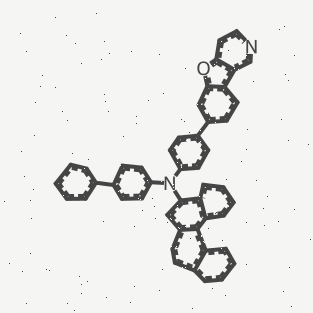 c1ccc(-c2ccc(N(c3ccc(-c4ccc5c(c4)oc4ccncc45)cc3)c3cc4ccc5ccccc5c4c4ccccc34)cc2)cc1